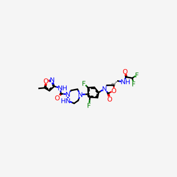 Cc1cc(NC(=O)N2CCN(c3c(F)cc(N4C[C@H](CNC(=O)C(F)F)OC4=O)cc3F)CCN2)no1